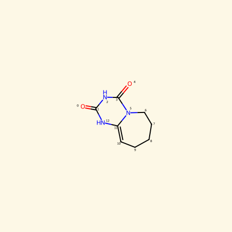 O=C1NC(=O)N2CCCCC=C2N1